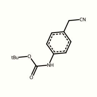 CC(C)(C)OC(=O)Nc1ccc(CC#N)cc1